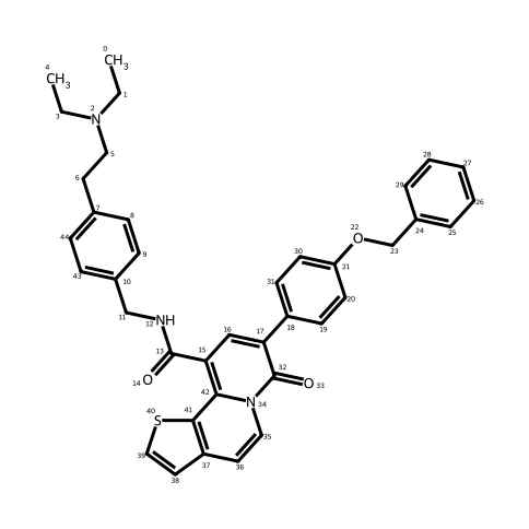 CCN(CC)CCc1ccc(CNC(=O)c2cc(-c3ccc(OCc4ccccc4)cc3)c(=O)n3ccc4ccsc4c23)cc1